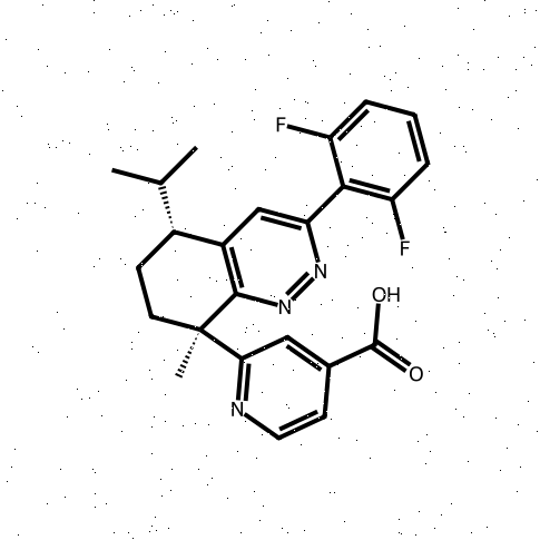 CC(C)[C@H]1CC[C@](C)(c2cc(C(=O)O)ccn2)c2nnc(-c3c(F)cccc3F)cc21